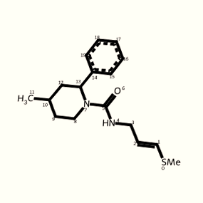 CS/C=C/CNC(=O)N1CCC(C)CC1c1ccccc1